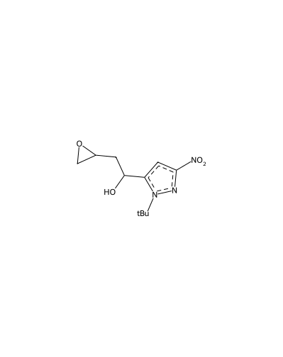 CC(C)(C)n1nc([N+](=O)[O-])cc1C(O)CC1CO1